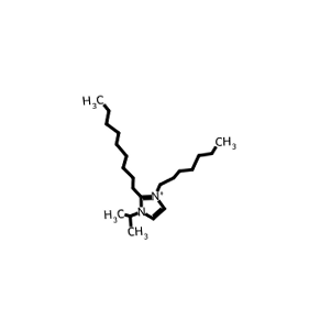 CCCCCCCCCc1n(C(C)C)cc[n+]1CCCCCCC